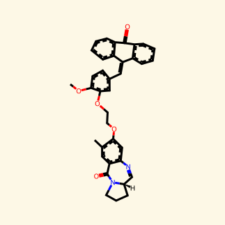 COc1ccc(C=C2c3ccccc3C(=O)c3ccccc32)cc1OCCOc1cc2c(cc1C)C(=O)N1CCC[C@H]1C=N2